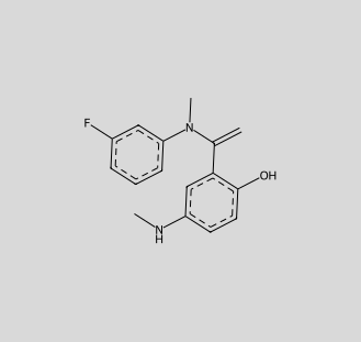 C=C(c1cc(NC)ccc1O)N(C)c1cccc(F)c1